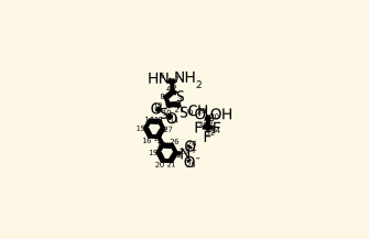 CSc1sc(C(=N)N)cc1S(=O)(=O)c1cccc(-c2cccc([N+](=O)[O-])c2)c1.O=C(O)C(F)(F)F